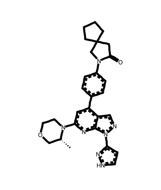 C[C@@H]1COCCN1c1cc(-c2ccc(N3CC4(CCCC4)CC3=O)cc2)c2cnn(-c3cc[nH]n3)c2n1